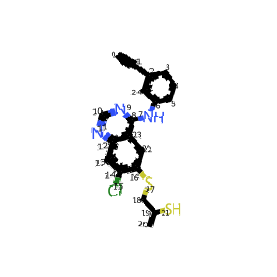 C#Cc1cccc(Nc2ncnc3cc(Cl)c(SCC(C)S)cc23)c1